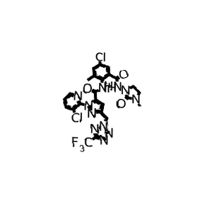 Cc1cc(Cl)cc(C(=O)NN2CCN(C)C2=O)c1NC(=O)c1cc(Cn2nnc(C(F)(F)F)n2)nn1-c1ncccc1Cl